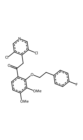 COc1ccc(C(=O)Cc2c(Cl)cncc2Cl)c(OCCc2ccc(F)cc2)c1OC